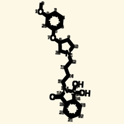 COc1cccc(OC2CCN(CCCCN3C(=O)c4ccccc4S3(O)O)C2)c1